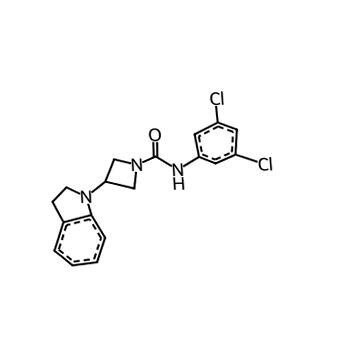 O=C(Nc1cc(Cl)cc(Cl)c1)N1CC(N2CCc3ccccc32)C1